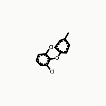 Cc1ccc(Oc2c(Cl)cccc2Cl)cc1